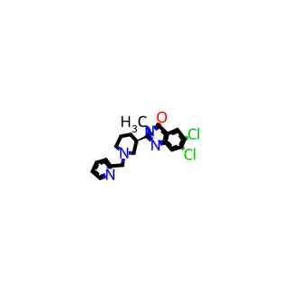 Cn1c([C@@H]2CCCN(Cc3ccccn3)C2)nc2cc(Cl)c(Cl)cc2c1=O